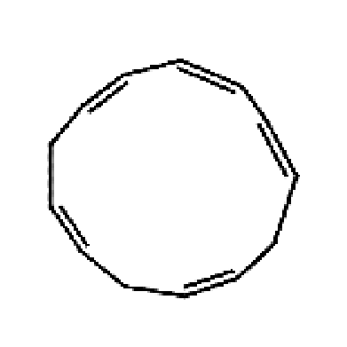 C1=CC=CCC=CCC=CCC=C1